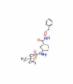 CC(C)(C)OC(=O)NC1CCC(C(=O)NOCc2ccccc2)C1